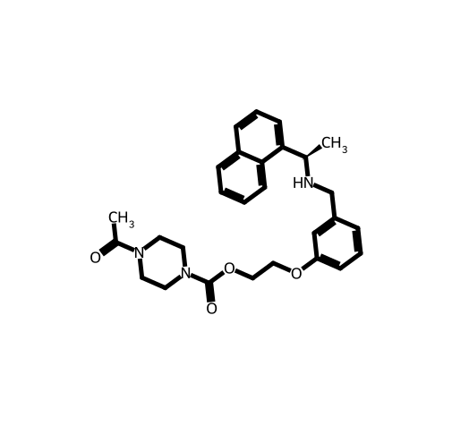 CC(=O)N1CCN(C(=O)OCCOc2cccc(CN[C@H](C)c3cccc4ccccc34)c2)CC1